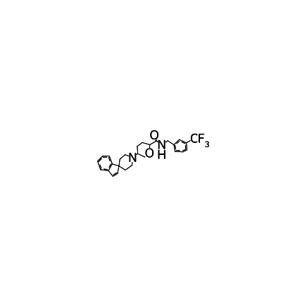 O=C(NCc1cccc(C(F)(F)F)c1)C1CCC(N2CCC3(C=Cc4ccccc43)CC2)CO1